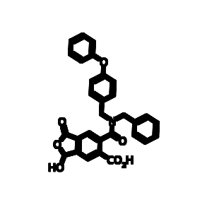 O=C(O)c1cc2c(cc1C(=O)N(Cc1ccccc1)Cc1ccc(Oc3ccccc3)cc1)C(=O)OC2O